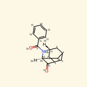 O=C1C2CC3C[C@H](C2)N(C(=O)c2ccccc2)[C@H]1C3